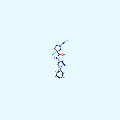 N#CN1CCC(F)(C(=O)Nc2cnn(-c3ccccc3)c2)C1